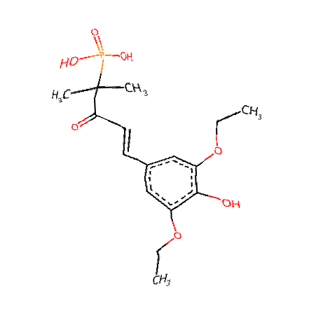 CCOc1cc(C=CC(=O)C(C)(C)P(=O)(O)O)cc(OCC)c1O